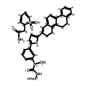 CCCCCCNC(=O)N(O)c1cccc(-c2ccc(C3=Cc4ccc5c(c4CC3)CCc3ccccc3-5)s2)c1.NC(=O)CC1C=CC=CS1(=O)=O